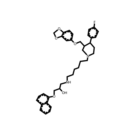 OC(CNCCCCCCN1CCC(c2ccc(F)cc2)C(COc2ccc3c(c2)OCO3)C1)COc1cccc2ccccc12